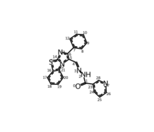 O=C(NN=Cc1c(-c2ccccc2)nc2sc3ccccc3n12)c1cccnc1